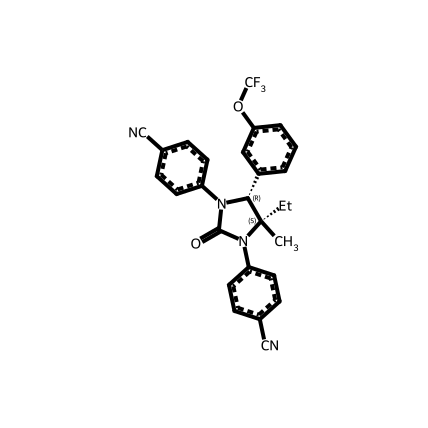 CC[C@@]1(C)[C@@H](c2cccc(OC(F)(F)F)c2)N(c2ccc(C#N)cc2)C(=O)N1c1ccc(C#N)cc1